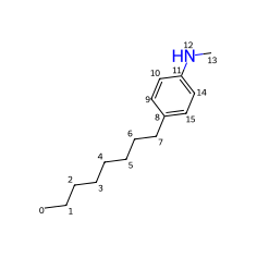 CCCCCCCCc1ccc(NC)cc1